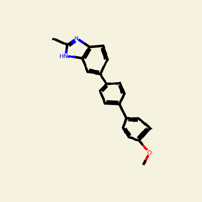 COc1ccc(-c2ccc(-c3ccc4nc(C)[nH]c4c3)cc2)cc1